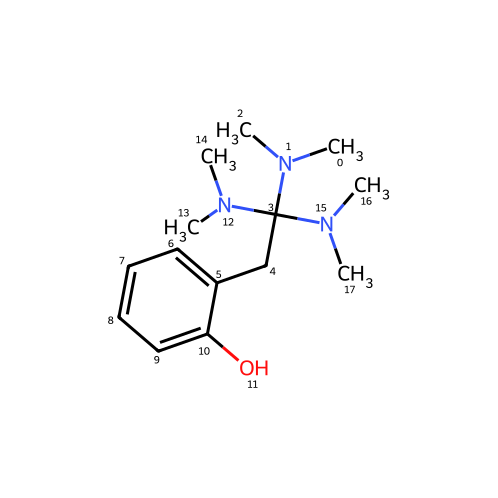 CN(C)C(Cc1ccccc1O)(N(C)C)N(C)C